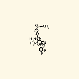 CC#CC(=O)N1CC[C@]2(C1)C[C@H](n1nc(-c3cnn(Cc4cccc(F)c4F)c3)c(C(N)O)c1N)C2